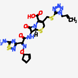 C=CCn1nnnc1SCC1=C(C(=O)O)N2C(=O)C(NC(=O)C(=NOC3C=CCC3)c3nsc(N)n3)[C@@H]2SC1